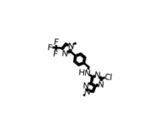 Cn1cc2nc(Cl)nc(NCc3ccc(-c4nc(C(F)(F)F)cn4C)cc3)c2n1